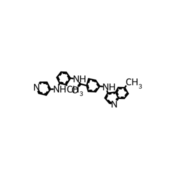 Cc1ccc2nccc(Nc3ccc(C(=O)Nc4cccc(Nc5ccncc5)c4C)cc3)c2c1